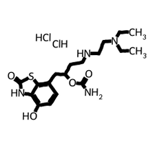 CCN(CC)CCNCCC(Cc1ccc(O)c2[nH]c(=O)sc12)OC(N)=O.Cl.Cl